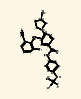 N#Cc1cccc(F)c1Nc1cc(C(=O)Nc2ccc(OC(F)(F)Cl)cc2)cnc1N1CC[C@@H](O)C1